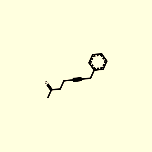 CC(=O)CCC#CCc1ccccc1